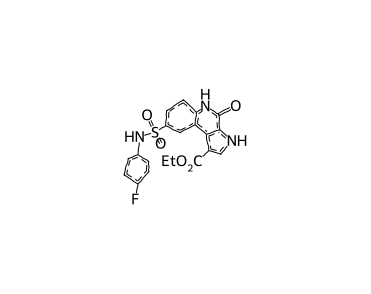 CCOC(=O)c1c[nH]c2c(=O)[nH]c3ccc(S(=O)(=O)Nc4ccc(F)cc4)cc3c12